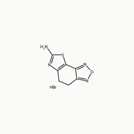 Br.Nc1nc2c(s1)-c1nonc1CC2